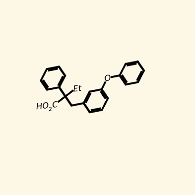 CCC(Cc1cccc(Oc2ccccc2)c1)(C(=O)O)c1ccccc1